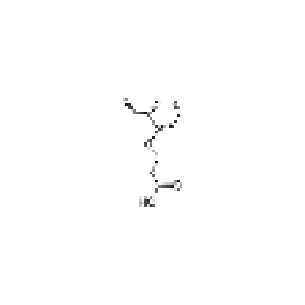 C=Cc1ccccc1OCCC(=O)O